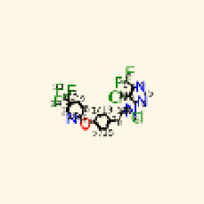 FC(F)c1ncnc(N(Cl)CCc2ccc(Oc3ccc(C(F)(F)F)cn3)cc2)c1Cl